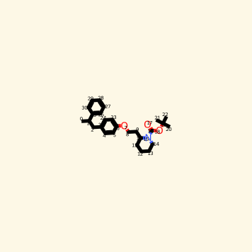 CC(Cc1ccc(OCCC2CCCCN2C(=O)OC(C)(C)C)cc1)c1ccccc1